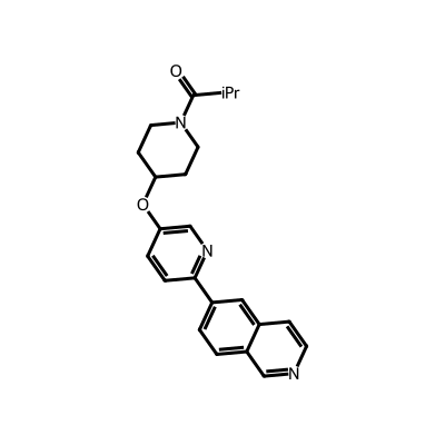 CC(C)C(=O)N1CCC(Oc2ccc(-c3ccc4cnccc4c3)nc2)CC1